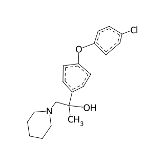 CC(O)(CN1CCCCC1)c1ccc(Oc2ccc(Cl)cc2)cc1